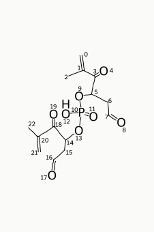 C=C(C)C(=O)C(CC=O)OP(=O)(O)OC(CC=O)C(=O)C(=C)C